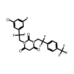 O=C1CC(=O)N(CC(F)(F)c2cc(F)cc(Cl)c2)C(=O)N1CC(F)(F)c1ccc(C(F)(F)F)cc1